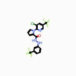 O=C(NNc1cccc(C(F)(F)F)c1)c1cccn1-c1ncc(C(F)(F)F)cc1Cl